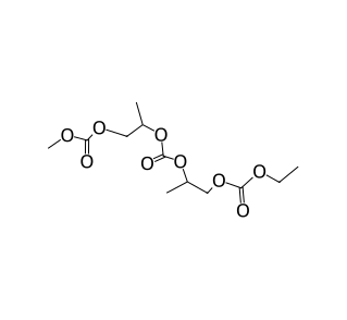 CCOC(=O)OCC(C)OC(=O)OC(C)COC(=O)OC